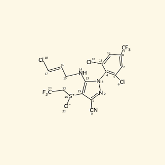 N#Cc1nn(-c2c(Cl)cc(C(F)(F)F)cc2Cl)c(NC/C=C/Cl)c1[S+]([O-])CC(F)(F)F